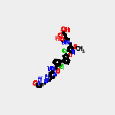 COc1nc(O[C@H]2CCc3c(-c4cccc(C(=O)Nc5ccc(CNC[C@@H]6CCC(=O)N6)cn5)c4Cl)cccc32)c(Cl)cc1CNCC(O)CC(=O)O